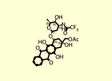 CC(=O)OC[C@]1(O)Cc2c(O)c3c(c(O)c2[C@@H](O[C@H]2C[C@H](NC(=O)C(F)(F)F)[C@H](O)[C@H](C)O2)C1)C(=O)c1ccccc1C3=O